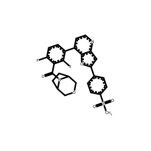 CS(=O)(=O)c1ccc(-c2cc3nccc(-c4ccc(F)c(C(=O)N5C6CCC5COC6)c4F)c3o2)cc1